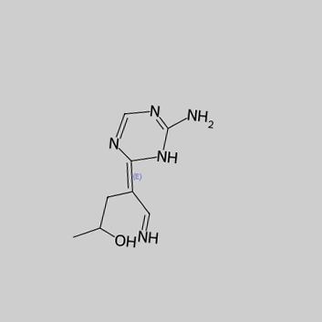 CC(O)C/C(C=N)=C1\N=CN=C(N)N1